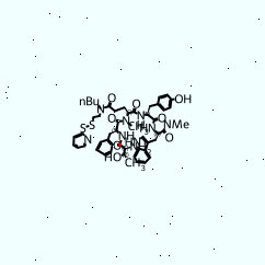 CCCCN(CCSSc1ccccn1)C(=O)CC[C@@H](C(=O)N[C@@H](Cc1ccc(O)cc1)C(=O)N[C@H](Cc1c[nH]c2ccccc12)C(=O)NC)N(C)C(=O)[C@H](Cc1ccccc1)NC(=O)[C@@H](N)[C@@H](C)O